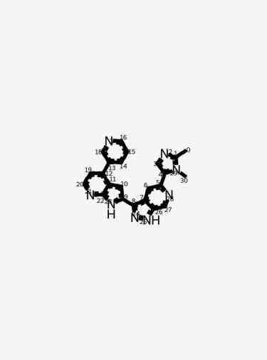 Cc1ncc(-c2cc3c(-c4cc5c(-c6cccnc6)ccnc5[nH]4)n[nH]c3cn2)n1C